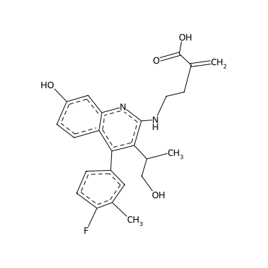 C=C(CCNc1nc2cc(O)ccc2c(-c2ccc(F)c(C)c2)c1C(C)CO)C(=O)O